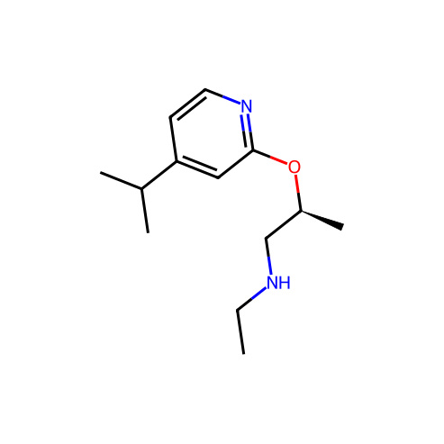 CCNC[C@H](C)Oc1cc(C(C)C)ccn1